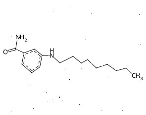 CCCCCCCCCNc1cccc(C(N)=O)c1